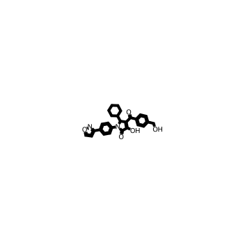 O=C(C1=C(O)C(=O)N(c2ccc(-c3ccon3)cc2)C1C1CCCCC1)c1ccc(CO)cc1